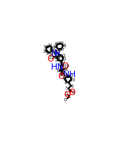 CCOC(=O)CCc1ccc(NC(=O)C(C)(C)NC(=O)c2ccc3c(c2)c(=O)n(-c2ccccc2)n3C2CCCCC2)cc1